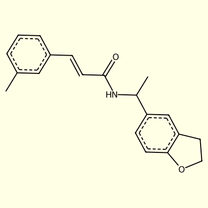 Cc1cccc(C=CC(=O)NC(C)c2ccc3c(c2)CCO3)c1